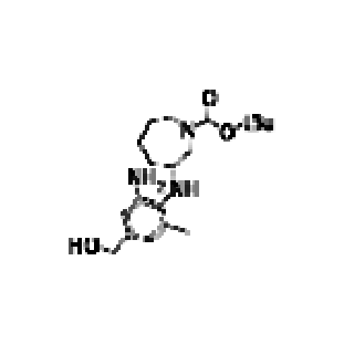 Cc1cc(CO)cc(N)c1N[C@@H]1CCCCN(C(=O)OC(C)(C)C)C1